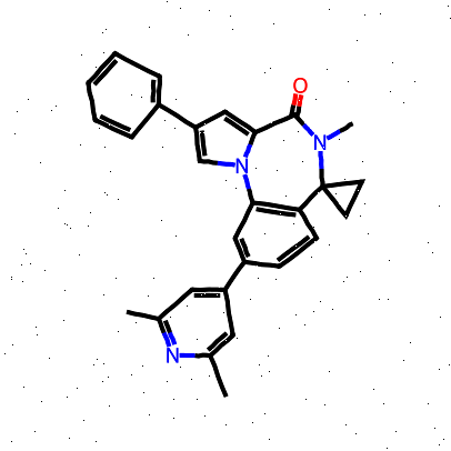 Cc1cc(-c2ccc3c(c2)-n2cc(-c4ccccc4)cc2C(=O)N(C)C32CC2)cc(C)n1